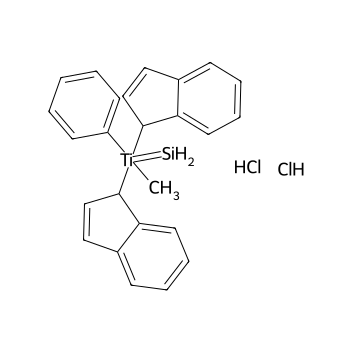 Cl.Cl.[CH3][Ti](=[SiH2])([c]1ccccc1)([CH]1C=Cc2ccccc21)[CH]1C=Cc2ccccc21